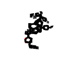 CC(=O)NC12CCC(C(=O)N3CC[C@]4(S(=O)(=O)c5ccc(F)cc5)c5ccc(C(F)(C(F)(F)F)C(F)(F)F)cc5CC[C@H]34)(CC1)CC2